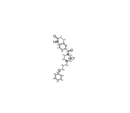 Cl.O=C1CCc2cc(C(=O)N3CCN(CCCOc4ccccc4)CC3)ccc2N1